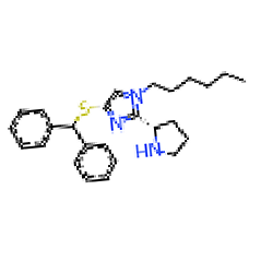 CCCCCCn1cc(SC(c2ccccc2)c2ccccc2)nc1[C@@H]1CCCN1